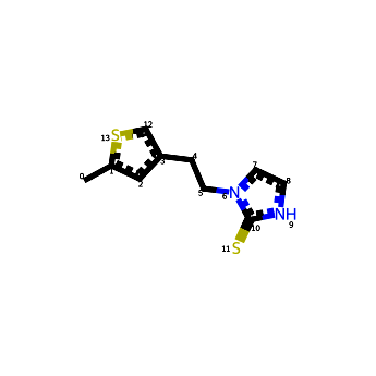 Cc1cc(CCn2cc[nH]c2=S)cs1